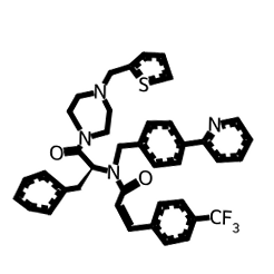 O=C([C@H](Cc1ccccc1)N(Cc1ccc(-c2ccccn2)cc1)C(=O)/C=C\c1ccc(C(F)(F)F)cc1)N1CCN(Cc2cccs2)CC1